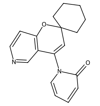 O=c1ccccn1C1=CC2(CCCCC2)Oc2ccncc21